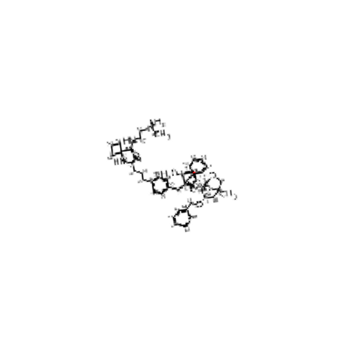 Cc1ccc([C@@]23OC[C@@](C)(C[C@H](OCc4ccccc4)[C@H]2OCc2ccccc2)O3)cc1Cc1ccc(CCCC(=O)NC2(C(=O)NCCN(C)C)CCC2)cc1